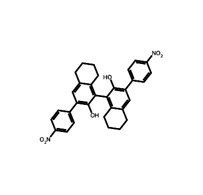 O=[N+]([O-])c1ccc(-c2cc3c(c(-c4c(O)c(-c5ccc([N+](=O)[O-])cc5)cc5c4CCCC5)c2O)CCCC3)cc1